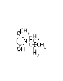 CO[C@H]1C=C[C@@H](O)CN(C(=O)OC(C)(C)C)C1